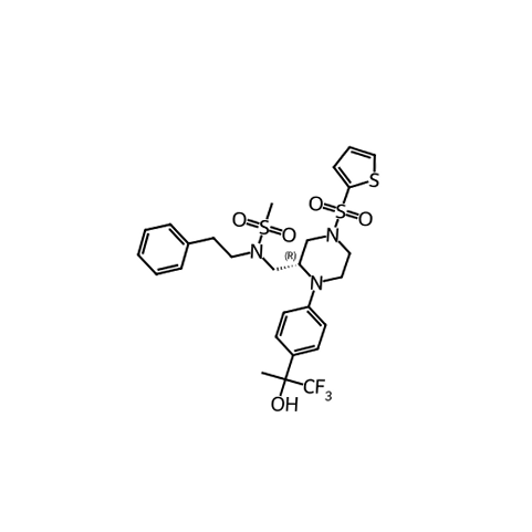 CC(O)(c1ccc(N2CCN(S(=O)(=O)c3cccs3)C[C@H]2CN(CCc2ccccc2)S(C)(=O)=O)cc1)C(F)(F)F